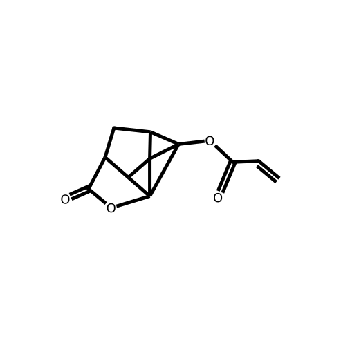 C=CC(=O)OC12C3CC4C(=O)OC15C4C325